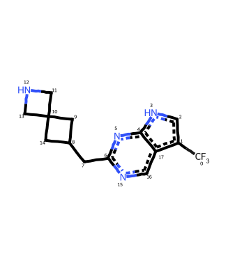 FC(F)(F)c1c[nH]c2nc(CC3CC4(CNC4)C3)ncc12